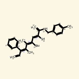 C=C/C(=C(C)/C(C)=C(/C=C(\S)C(=C)NCc1ccc(C)cc1)C(C)CC)c1ccccc1